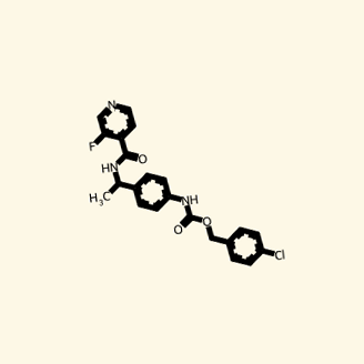 CC(NC(=O)c1ccncc1F)c1ccc(NC(=O)OCc2ccc(Cl)cc2)cc1